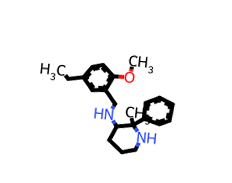 CCc1ccc(OC)c(CNC2CCCNC2(C)c2ccccc2)c1